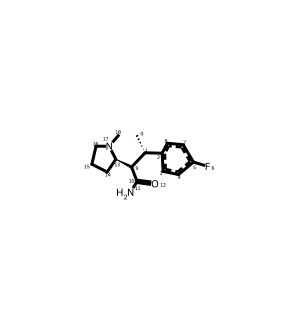 C[C@H](c1ccc(F)cc1)C(C(N)=O)[C@H]1CCCN1C